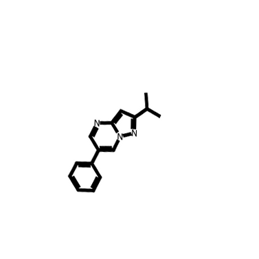 CC(C)c1cc2ncc(-c3ccccc3)cn2n1